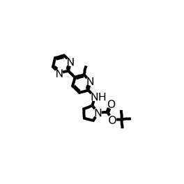 Cc1nc(NC2CCCN2C(=O)OC(C)(C)C)ccc1-c1ncccn1